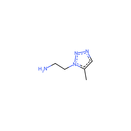 Cc1cnnn1CCN